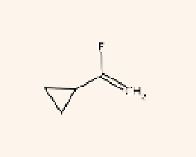 C=C(F)C1CC1